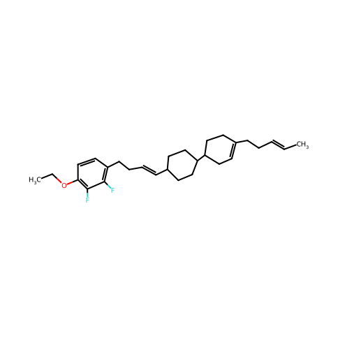 C/C=C/CCC1=CCC(C2CCC(/C=C/CCc3ccc(OCC)c(F)c3F)CC2)CC1